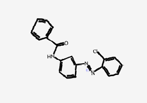 O=C(Nc1cccc(/N=N/c2cc[c]cc2Cl)c1)c1ccccc1